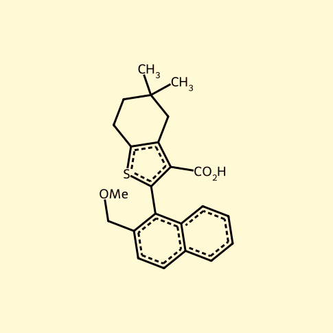 COCc1ccc2ccccc2c1-c1sc2c(c1C(=O)O)CC(C)(C)CC2